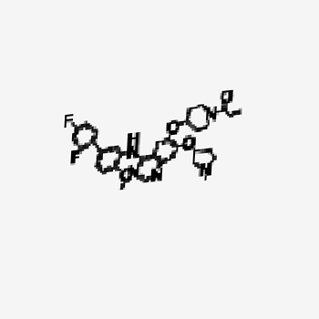 C=CC(=O)N1CCC(Oc2cc3c(Nc4cc(-c5ccc(F)cc5F)ccc4OC)ncnc3cc2OC2CCN(C)C2)CC1